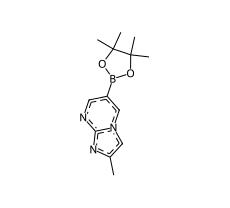 Cc1cn2cc(B3OC(C)(C)C(C)(C)O3)cnc2n1